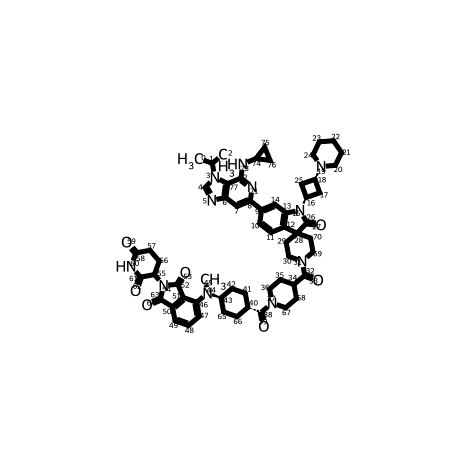 CC(C)n1cnc2cc(-c3ccc4c(c3)N([C@H]3C[C@@H](N5CCCCC5)C3)C(=O)C43CCN(C(=O)C4CCN(C(=O)[C@H]5CC[C@H](N(C)c6cccc7c6C(=O)N(C6CCC(=O)NC6=O)C7=O)CC5)CC4)CC3)nc(NC3CC3)c21